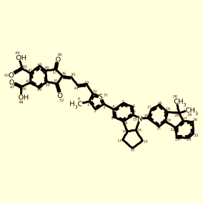 Cc1cc(-c2ccc3c(c2)C2CCCC2N3c2ccc3c(c2)-c2ccccc2C3(C)C)sc1/C=C/C=C1C(=O)c2cc(C(=O)O)c(C(=O)O)cc2C1=O